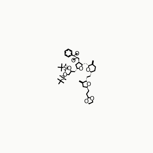 C=C1C[C@H](CCC2OCCO2)O[C@H]1CC[C@H]1CCC(=C)[C@@H](C[C@@H]2O[C@H](CC(CO[Si](C)(C)C(C)(C)C)O[Si](C)(C)C(C)(C)C)C[C@H]2CS(=O)(=O)c2ccccc2)O1